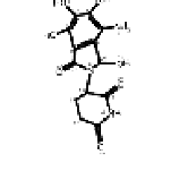 Nc1c(O)c(O)c(O)c2c1C(O)N(C1CCC(=O)NC1=O)C2=O